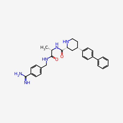 C[C@H](NC(=O)[C@H]1C[C@@H](c2ccc(-c3ccccc3)cc2)CCN1)C(=O)NCc1ccc(C(=N)N)cc1